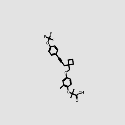 Cc1cc(OCC2(CC#Cc3ccc(OC(F)(F)F)cc3)CCC2)ccc1OC(C)(C)C(=O)O